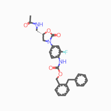 CC(=O)NC[C@H]1CN(c2ccc(NC(=O)OCc3ccccc3Cc3ccccc3)c(F)c2)C(=O)O1